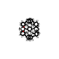 Cc1cccc(-c2c(-n3c4ccccc4c4ccccc43)c(-n3c4ccccc4c4ccccc43)c(-c3ccncc3)c(-n3c4ccccc4c4ccccc43)c2-n2c3ccccc3c3ccccc32)n1